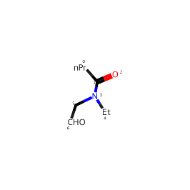 CCCC(=O)N(CC)CC=O